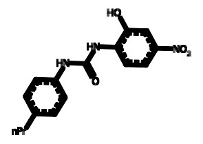 CCCc1ccc(NC(=O)Nc2ccc([N+](=O)[O-])cc2O)cc1